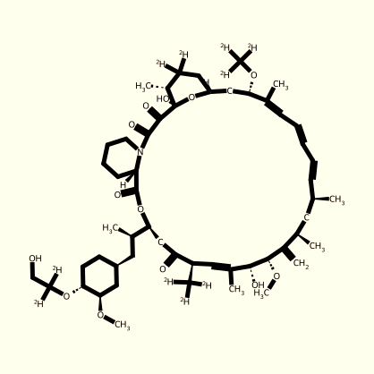 [2H]C([2H])([2H])O[C@H]1C[C@@H]2CC([2H])([2H])[C@@H](C)[C@@](O)(O2)C(=O)C(=O)N2CCCC[C@H]2C(=O)O[C@H]([C@H](C)C[C@@H]2CC[C@@H](OC([2H])([2H])CO)[C@H](OC)C2)CC(=O)[C@H](C([2H])([2H])[2H])/C=C(\C)[C@@H](O)[C@@H](OC)C(=C)[C@H](C)C[C@H](C)/C=C/C=C/C=C/1C